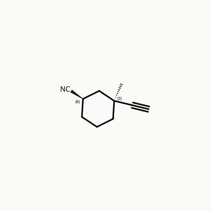 C#C[C@@]1(C)CCC[C@@H](C#N)C1